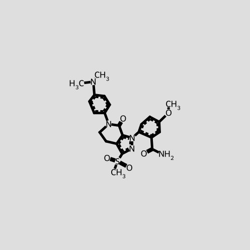 COc1ccc(-n2nc(S(C)(=O)=O)c3c2C(=O)N(c2ccc(N(C)C)cc2)CC3)c(C(N)=O)c1